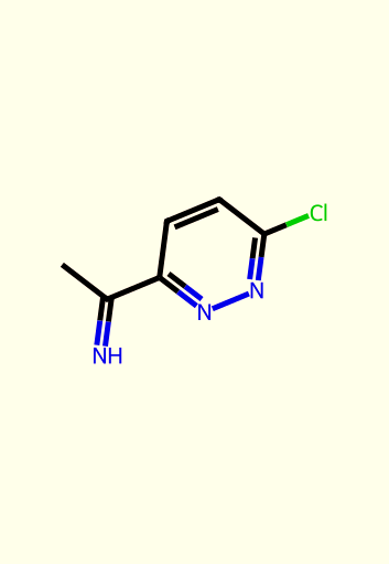 CC(=N)c1ccc(Cl)nn1